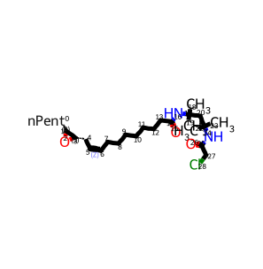 CCCCC[C@H]1O[C@H]1C/C=C\CCCCCCCC(=O)NC(C)(C)CC(C)(C)NC(=O)CCl